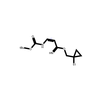 CCC1(COC(=N)/C=C\NC(=O)OC(C)(C)C)CC1